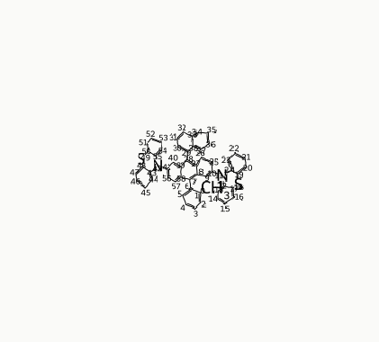 Cc1ccccc1-c1c2cc(N3c4ccccc4Sc4ccccc43)ccc2c(-c2cccc3ccccc23)c2cc(N3c4ccccc4Sc4ccccc43)ccc12